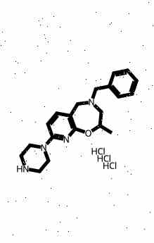 CC1CN(Cc2ccccc2)Cc2ccc(N3CCNCC3)nc2O1.Cl.Cl.Cl